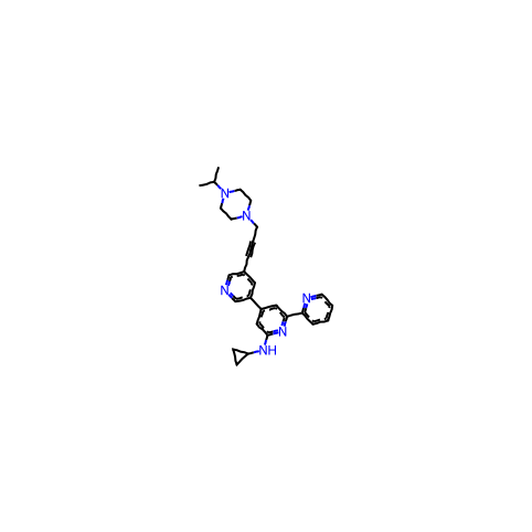 CC(C)N1CCN(CC#Cc2cncc(-c3cc(NC4CC4)nc(-c4ccccn4)c3)c2)CC1